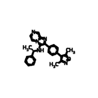 Cc1noc(C)c1-c1ccc(-c2nc3cnccn3c2N[C@@H](C)c2ccccc2)cc1